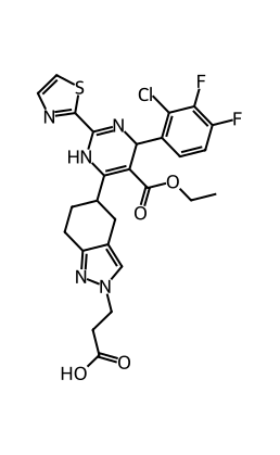 CCOC(=O)C1=C(C2CCc3nn(CCC(=O)O)cc3C2)NC(c2nccs2)=NC1c1ccc(F)c(F)c1Cl